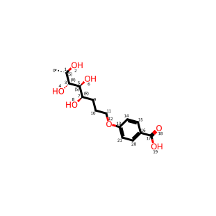 C[C@H](O)[C@@H](O)[C@@H](O)[C@H](O)CCCOc1ccc(C(=O)O)cc1